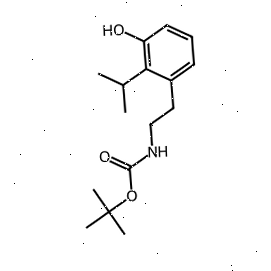 CC(C)c1c(O)cccc1CCNC(=O)OC(C)(C)C